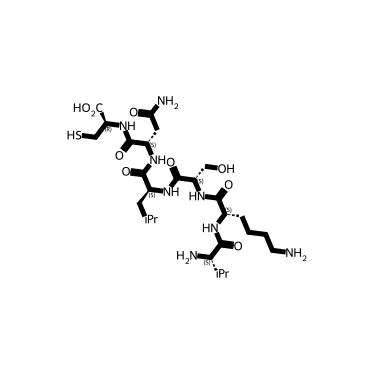 CC(C)C[C@H](NC(=O)[C@H](CO)NC(=O)[C@H](CCCCN)NC(=O)[C@@H](N)C(C)C)C(=O)N[C@@H](CC(N)=O)C(=O)N[C@@H](CS)C(=O)O